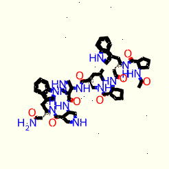 CC(=O)NC1CCCC1C(=O)N[C@H](CC(=O)NC1CCCC1C(=O)NC[C@H](CC(C)C)C(=O)NC1CNCC1C(=O)NC1CNCC1C(=O)N[C@H](CC(N)=O)Cc1c[nH]c2ccccc12)Cc1c[nH]c2ccccc12